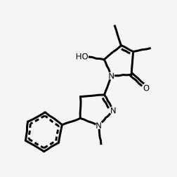 CC1=C(C)C(O)N(C2=NN(C)C(c3ccccc3)C2)C1=O